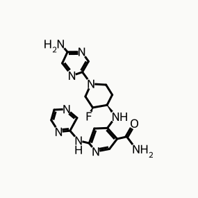 NC(=O)c1cnc(Nc2cnccn2)cc1N[C@@H]1CCN(c2cnc(N)cn2)C[C@@H]1F